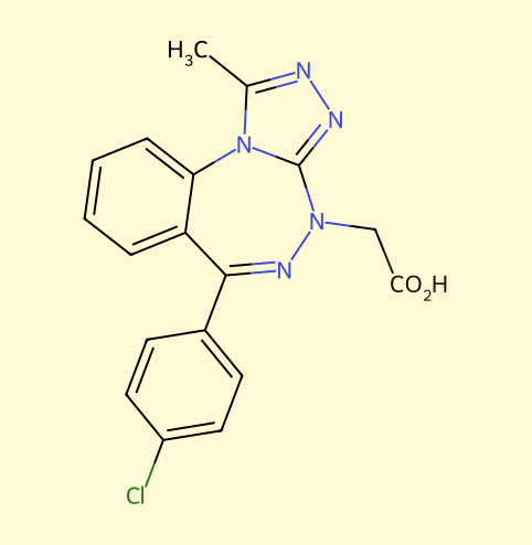 Cc1nnc2n1-c1ccccc1C(c1ccc(Cl)cc1)=NN2CC(=O)O